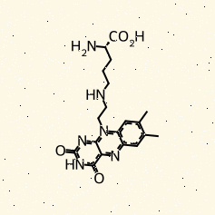 Cc1cc2nc3c(=O)[nH]c(=O)nc-3n(CCNCCC[C@@H](N)C(=O)O)c2cc1C